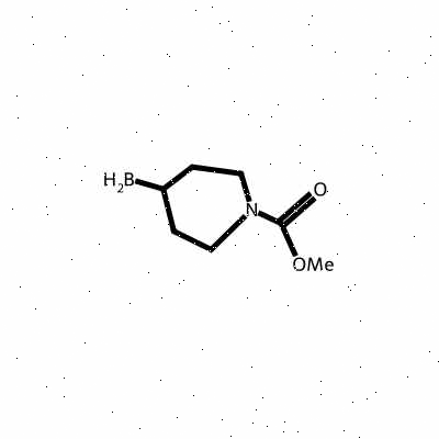 BC1CCN(C(=O)OC)CC1